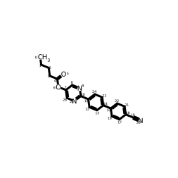 CCCCC(=O)Oc1cnc(-c2ccc(-c3ccc(C#N)cc3)cc2)nc1